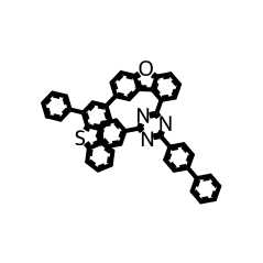 c1ccc(-c2ccc(-c3nc(-c4ccccc4)nc(-c4cccc5oc6ccc(-c7cc(-c8ccccc8)c8sc9ccccc9c8c7)cc6c45)n3)cc2)cc1